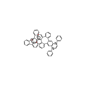 c1ccc(-n2ccn(-c3ccccc3)c3cc4c(cc32)c2ccccc2c2cccc(-c3cccc5c3oc3ccccc35)c2c2c(-c3cccc5c3oc3ccccc35)cccc42)cc1